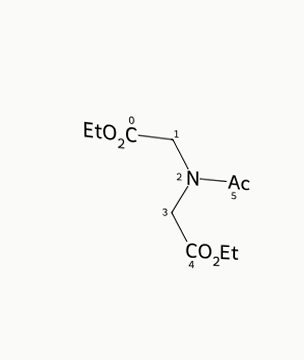 CCOC(=O)CN(CC(=O)OCC)C(C)=O